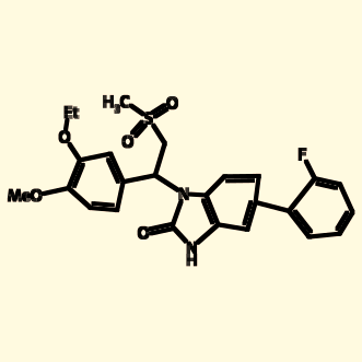 CCOc1cc(C(CS(C)(=O)=O)n2c(=O)[nH]c3cc(-c4ccccc4F)ccc32)ccc1OC